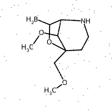 BC1OC2(COC)CCNC1C2OC